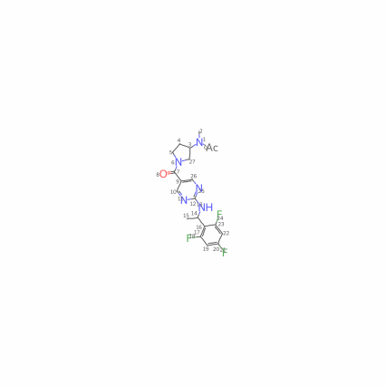 CC(=O)N(C)C1CCN(C(=O)c2cnc(NC(C)c3c(F)cc(F)cc3F)nc2)C1